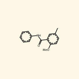 [CH2]c1ccc(OC)c(C(=O)Nc2ccccc2)c1